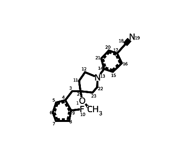 COC1(Cc2ccccc2F)CCN(c2ccc(C#N)cc2)CC1